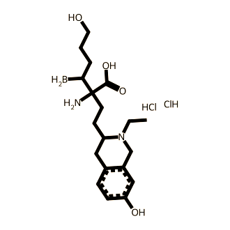 BC(CCCO)C(N)(CCC1Cc2ccc(O)cc2CN1CC)C(=O)O.Cl.Cl